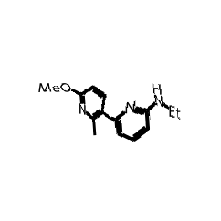 CCNc1cccc(-c2ccc(OC)nc2C)n1